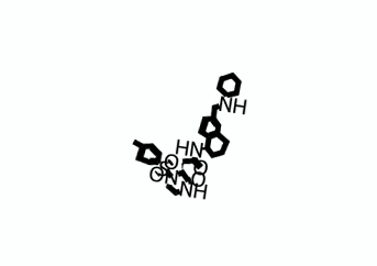 Cc1ccc(S(=O)(=O)N2CCNC(=O)[C@H]2CC(=O)N[C@@H]2CCCc3cc(CNC4CCCCC4)ccc32)cc1